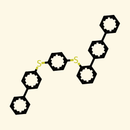 c1ccc(-c2ccc(Sc3ccc(Sc4ccccc4-c4ccc(-c5ccccc5)cc4)cc3)cc2)cc1